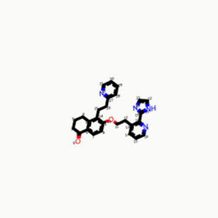 O=C1CCCc2c1ccc(OCCc1cccnc1-c1ncc[nH]1)c2CCc1ccccn1